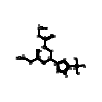 CCCCCCCCCCCC(=O)OCC(OC(=O)CCCCCCCCCCC)c1coc([Si](C)(C)C)c1